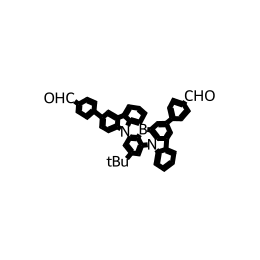 CC(C)(C)c1cc2c3c(c1)-n1c4ccccc4c4cc(-c5ccc(C=O)cc5)cc(c41)B3c1cccc3c4cc(-c5ccc(C=O)cc5)ccc4n-2c13